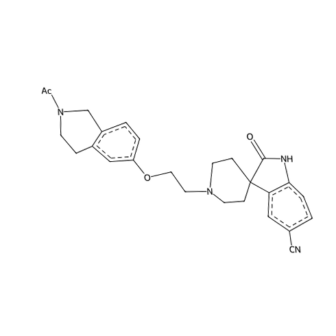 CC(=O)N1CCc2cc(OCCN3CCC4(CC3)C(=O)Nc3ccc(C#N)cc34)ccc2C1